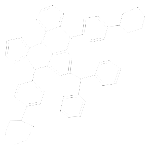 c1ccc(C(c2ccccc2)c2cc3c4c(c2)N(c2ccc(C5CCCCC5)cc2)c2ccccc2B4c2ccccc2N3c2ccc(C3CCCCC3)cc2)cc1